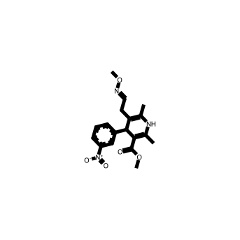 CON=CCC1=C(C)NC(C)=C(C(=O)OC)C1c1cccc([N+](=O)[O-])c1